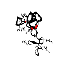 CCC(CC)(NC(C)=O)C(=O)N1CCC(CCN2[C@@H]3CC[C@H]2C[C@@H](n2c(C)nc4ccccc42)C3)(c2cccc(F)c2)CC1